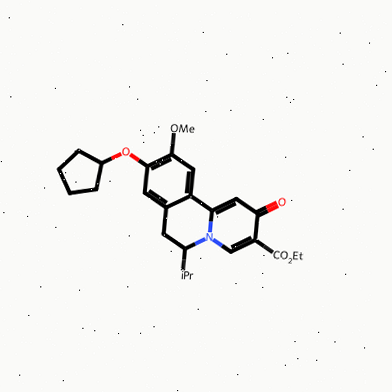 CCOC(=O)c1cn2c(cc1=O)-c1cc(OC)c(OC3CCCC3)cc1CC2C(C)C